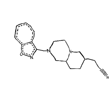 N#CCC1CCC2CN(c3noc4ccccc34)CCN2C1